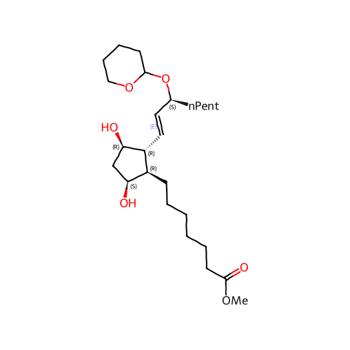 CCCCC[C@@H](/C=C/[C@@H]1[C@@H](CCCCCCC(=O)OC)[C@@H](O)C[C@H]1O)OC1CCCCO1